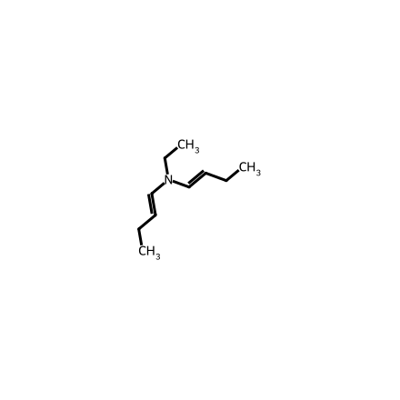 CCC=CN(C=CCC)CC